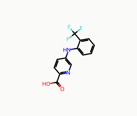 O=C(O)c1ccc(Nc2ccccc2C(F)(F)F)cn1